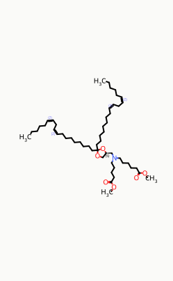 CCCCC/C=C\C/C=C\CCCCCCCCC1(CCCCCCCC/C=C\C/C=C\CCCCC)OC[C@H](CN(CCCCCC(=O)OC)CCCCC(=O)OC)O1